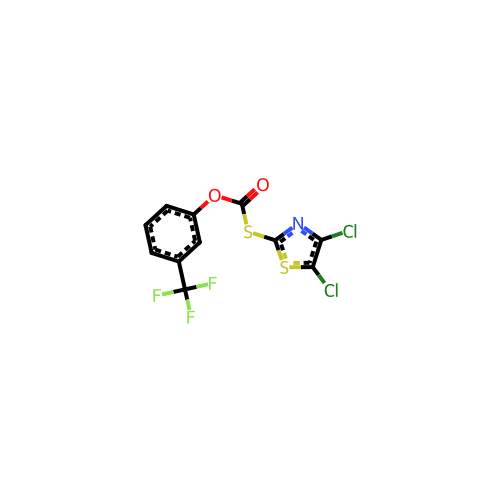 O=C(Oc1cccc(C(F)(F)F)c1)Sc1nc(Cl)c(Cl)s1